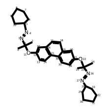 CC(C)(N=NC1CCCCC1)Oc1ccc2c(ccc3cc(OC(C)(C)N=NC4CCCCC4)ccc32)c1